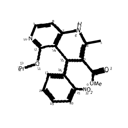 COC(=O)C1=C(C)Nc2ccnc(OC(C)C)c2C1c1ccccc1[N+](=O)[O-]